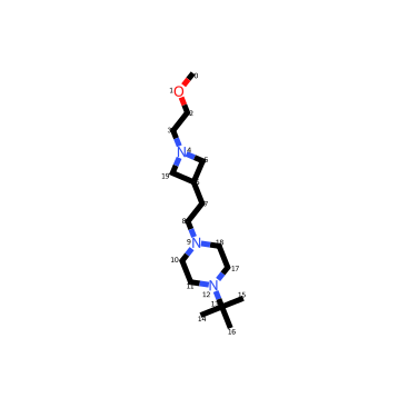 COCCN1CC(CCN2CCN(C(C)(C)C)CC2)C1